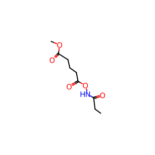 CCC(=O)NOC(=O)CCCC(=O)OC